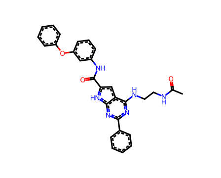 CC(=O)NCCNc1nc(-c2ccccc2)nc2[nH]c(C(=O)Nc3cccc(Oc4ccccc4)c3)cc12